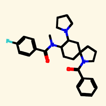 CN(C(=O)c1ccc(F)cc1)C1CCC2(CCCN2C(=O)c2ccccc2)CC1N1CCCC1